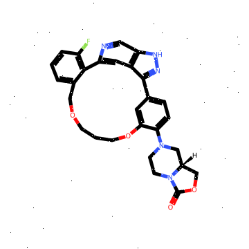 O=C1OC[C@H]2CN(c3ccc4cc3OCCCOCc3cccc(F)c3-c3cc5c-4n[nH]c5cn3)CCN12